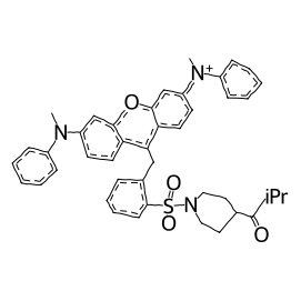 CC(C)C(=O)C1CCN(S(=O)(=O)c2ccccc2Cc2c3cc/c(=[N+](/C)c4ccccc4)cc-3oc3cc(N(C)c4ccccc4)ccc23)CC1